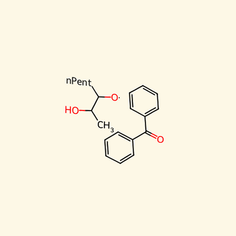 CCCCCC([O])C(C)O.O=C(c1ccccc1)c1ccccc1